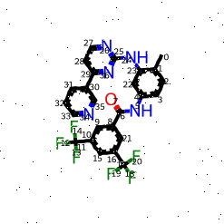 Cc1ccc(NC(=O)c2cc(C(F)(F)F)cc(C(F)(F)F)c2)cc1Nc1nccc(-c2cccnc2)n1